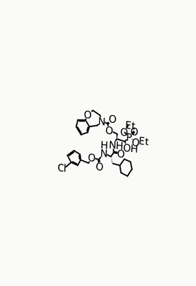 CCOP(=O)(OCC)C(O)[C@H](COC(=O)N1CCOc2ccccc2C1)NC(=O)[C@H](CC1CCCCC1)NC(=O)OCc1cccc(Cl)c1